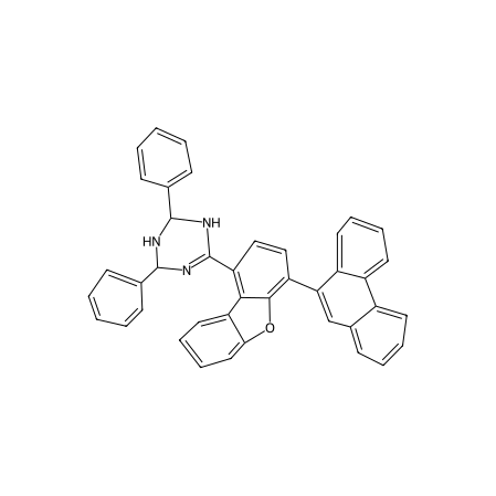 c1ccc(C2N=C(c3ccc(-c4cc5ccccc5c5ccccc45)c4oc5ccccc5c34)NC(c3ccccc3)N2)cc1